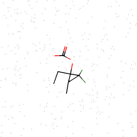 CCC1(OC(=O)O)C(C)C1(Cl)Cl